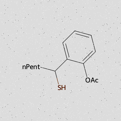 CCCCCC(S)c1ccccc1OC(C)=O